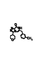 Cc1cccc(Cc2cn3c(C4CCOCC4)nnc3c(=O)[nH]2)c1